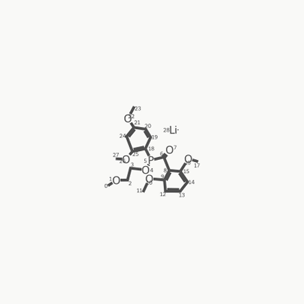 COCCOP(C(=O)c1c(OC)cccc1OC)c1ccc(OC)cc1OC.[Li]